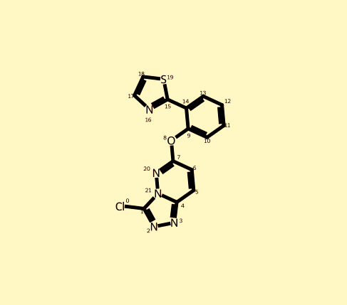 Clc1nnc2ccc(Oc3ccccc3-c3nccs3)nn12